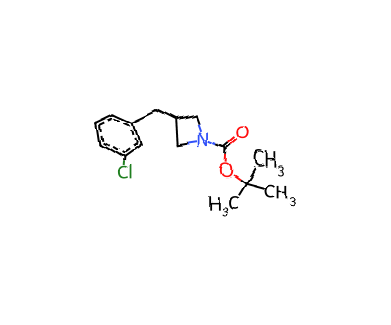 CC(C)(C)OC(=O)N1CC(Cc2cccc(Cl)c2)C1